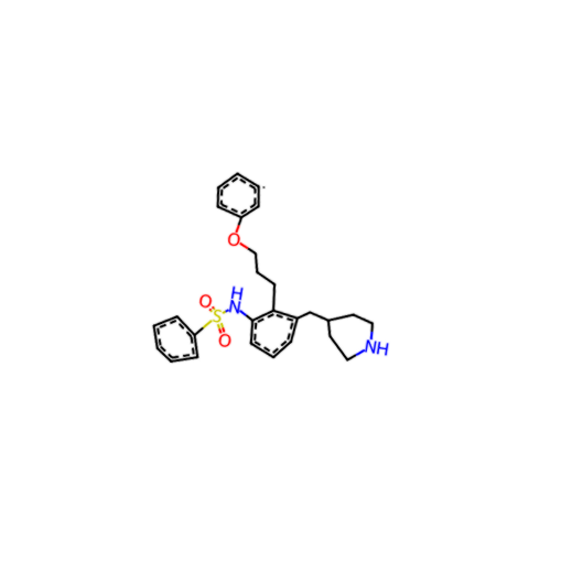 O=S(=O)(Nc1cccc(CC2CCNCC2)c1CCCOc1c[c]ccc1)c1ccccc1